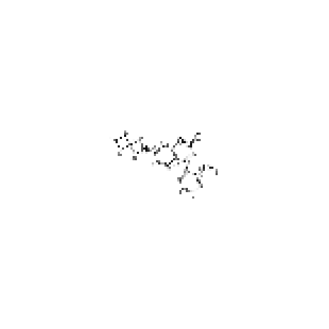 Cc1ccccc1-c1cc(=O)oc2nc(N3CC4(CCC4)C3)ccc12